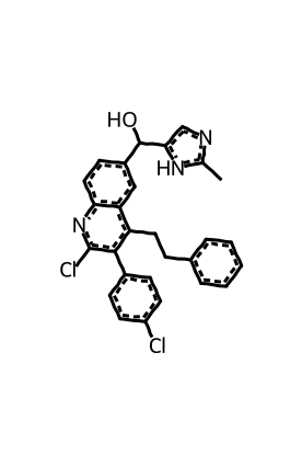 Cc1ncc(C(O)c2ccc3nc(Cl)c(-c4ccc(Cl)cc4)c(CCc4ccccc4)c3c2)[nH]1